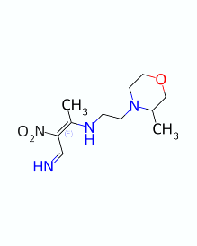 C/C(NCCN1CCOCC1C)=C(/C=N)[N+](=O)[O-]